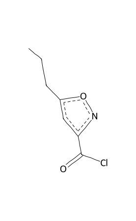 CCCc1cc(C(=O)Cl)no1